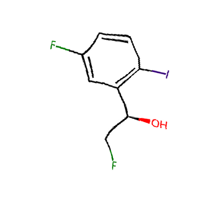 O[C@@H](CF)c1cc(F)ccc1I